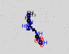 CN1C[C@H]2C[C@@H]1CN2c1ccc2nc(/C(=C/NC3CC(CCNc4ccc5c(c4)C(=O)N(C4CCC(=O)NC4=O)C5=O)C3)C(=N)C3CC3)cnc2c1